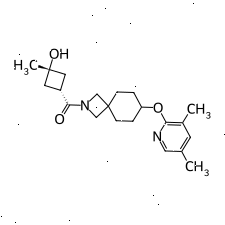 Cc1cnc(OC2CCC3(CC2)CN(C(=O)[C@H]2C[C@@](C)(O)C2)C3)c(C)c1